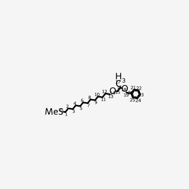 CSCCCCCCCCCCCCCOCC(C)OCc1ccccc1